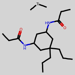 CCCC1(CCC)CC(NC(=O)CC)CC(NC(=O)CC)C1.[CH3][Ti][CH3]